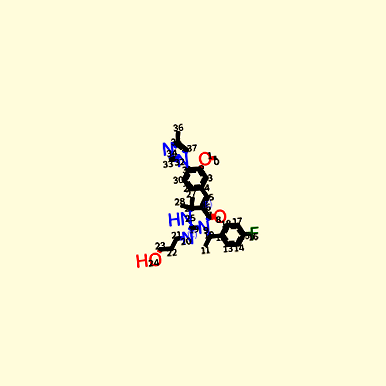 COc1cc(/C=C2/C(=O)N(C(C)c3ccc(F)cc3)/C(=N/CCCO)NC2(C)C)ccc1-n1cnc(C)c1